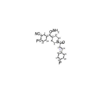 N#Cc1cc(C(ON)=C2CCN(C(=O)/C=C/c3ccc(F)cc3)CC2)ccc1F